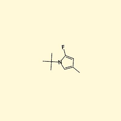 Cc1cc(F)n(C(C)(C)C)c1